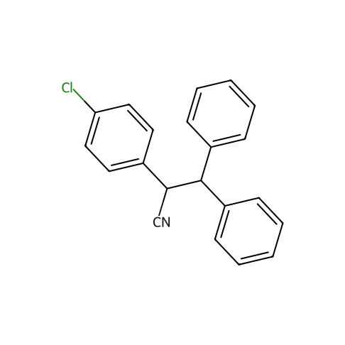 N#CC(c1ccc(Cl)cc1)C(c1ccccc1)c1ccccc1